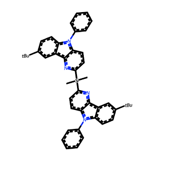 CC(C)(C)c1ccc2c(c1)c1nc([Si](C)(C)c3ccc4c(n3)c3cc(C(C)(C)C)ccc3n4-c3ccccc3)ccc1n2-c1ccccc1